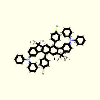 CC1(C)c2ccc(N(c3ccccc3)c3ccccc3)cc2-c2c1cc1c(-c3ccc(F)cc3)c3c(cc1c2-c1ccc(F)cc1)C(C)(C)c1ccc(N(c2ccccc2)c2ccccc2)cc1-3